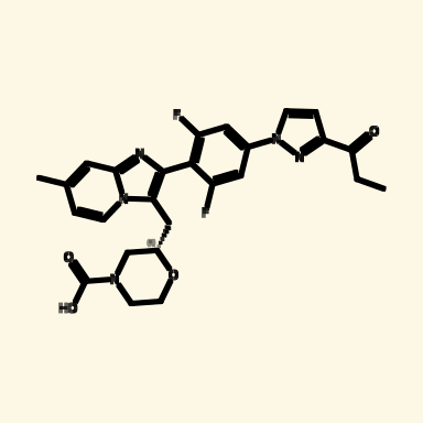 CCC(=O)c1ccn(-c2cc(F)c(-c3nc4cc(C)ccn4c3C[C@H]3CN(C(=O)O)CCO3)c(F)c2)n1